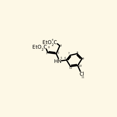 CCOC(=O)C=C(CC(=O)OCC)Nc1cccc(Cl)c1